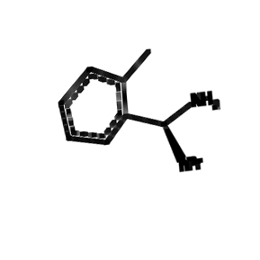 CCC[C@H](N)c1ccccc1C